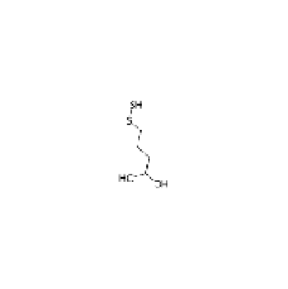 OC(O)CCCSS